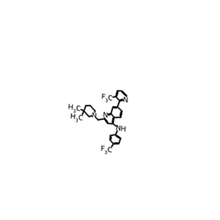 CC1(C)CCCN(Cc2cc(Nc3ccc(C(F)(F)F)cc3)c3ccc(-c4ncccc4C(F)(F)F)cc3n2)C1